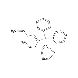 C=CC/C=C(\C=C/C)S(c1ccccc1)(c1ccccc1)c1ccccc1